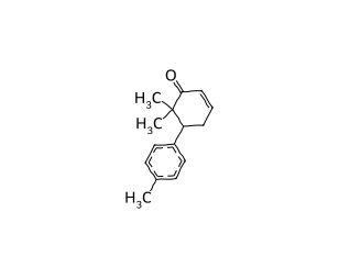 Cc1ccc(C2CC=CC(=O)C2(C)C)cc1